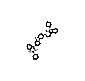 C=Cc1c(/C=C\CC2=CC=C3Oc4cc(N(NC(=N)c5ccccc5)c5ccccc5)ccc4C3C2)c2ccccc2n1-c1ccccc1